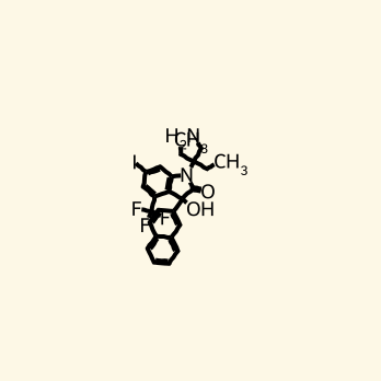 CCC(CC)(CN)N1C(=O)C(O)(c2ccc3ccccc3c2)c2c1cc(I)cc2C(F)(F)F